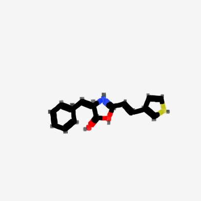 O=C1OC(/C=C/c2ccsc2)=NC1=Cc1ccccc1